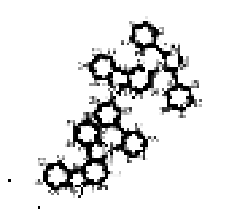 c1ccc(-c2nnc(-c3ccccc3)n2-c2ccc3c(c2)c2ccccc2n3-c2cccc(-c3ccccc3-n3c4ccccc4c4c5c(ccc43)oc3ccccc35)c2)cc1